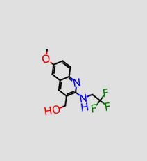 COc1ccc2nc(NCC(F)(F)F)c(CO)cc2c1